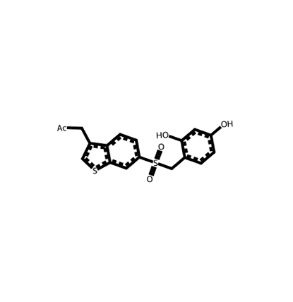 CC(=O)Cc1csc2cc(S(=O)(=O)Cc3ccc(O)cc3O)ccc12